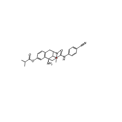 CC(C)C(=O)Oc1ccc2c(c1)[C@@]1(N)CCN(C)C(C2)C1N(C)C(=O)Nc1ccc(C#N)cc1